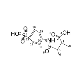 CC(C(=O)O)C(C)C(=O)Nc1ccc(S(=O)(=O)O)cc1